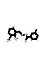 Cc1cccc(C(=O)N/N=C/c2cccc(Cl)c2O)c1